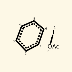 CC(=O)OI.c1ccccc1